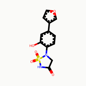 O=C1CN(c2ccc(-c3ccoc3)cc2O)S(=O)(=O)N1